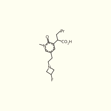 CC(C)CC(C(=O)O)c1cc(CCN2CC(F)C2)cn(C)c1=O